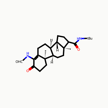 CC(C)(C)NC(=O)C1CC[C@H]2[C@@H]3CCC4=C(NC=O)C(=O)CC[C@]4(C)[C@@H]3CC[C@]12C